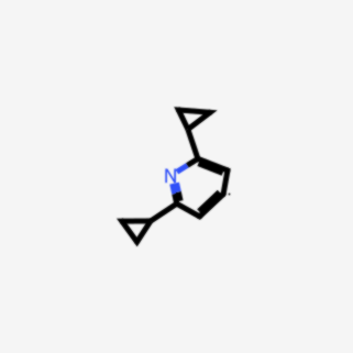 [c]1cc(C2CC2)nc(C2CC2)c1